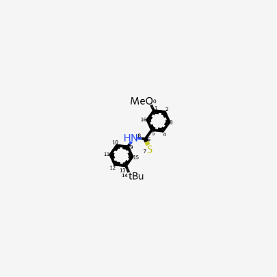 COc1cccc(C(=S)Nc2cccc(C(C)(C)C)c2)c1